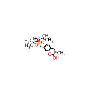 C[C@@H](Cc1ccc(CP(=O)(OC(C)(C)C)OC(C)(C)C)cc1)C(=O)O